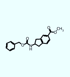 COC(=O)c1ccc2c(c1)CC(NC(=O)OCc1ccccc1)C2